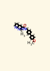 COc1ccc(-c2ccc(CNC(=O)c3cc4cccnc4nc3C)cc2)cc1